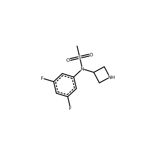 CS(=O)(=O)N(c1cc(F)cc(F)c1)C1CNC1